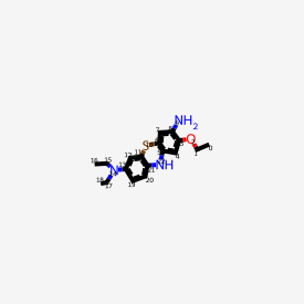 CCOc1cc2c(cc1N)Sc1cc(N(CC)CC)ccc1N2